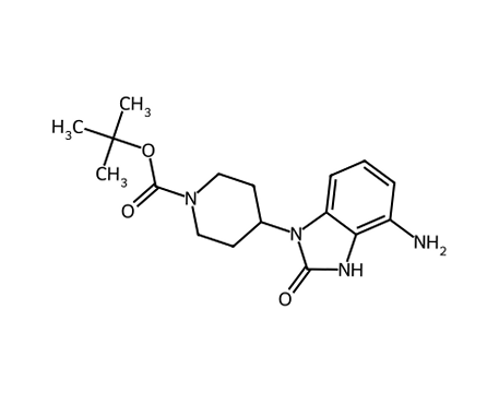 CC(C)(C)OC(=O)N1CCC(n2c(=O)[nH]c3c(N)cccc32)CC1